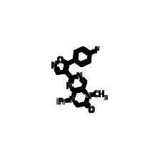 CC(C)N1CC(=O)N(C)c2cnc(-c3cnoc3-c3ccc(F)cc3)nc21